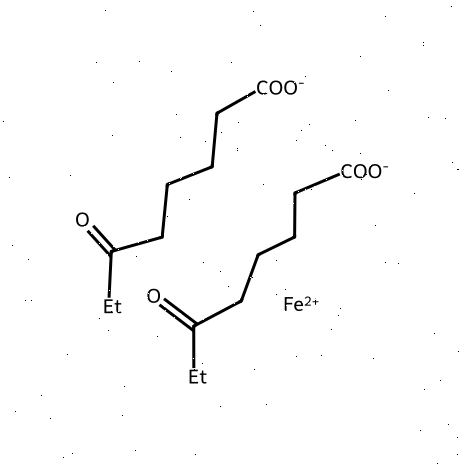 CCC(=O)CCCCC(=O)[O-].CCC(=O)CCCCC(=O)[O-].[Fe+2]